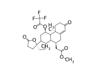 COC(=O)C[C@@H]1CC2=CC(=O)CC[C@]2(C)C2C1C1CC[C@@]3(CCC(=O)O3)[C@@]1(C)C[C@H]2OC(=O)C(F)(F)F